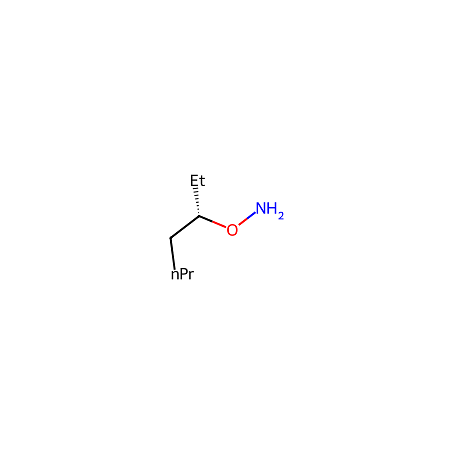 CCCC[C@H](CC)ON